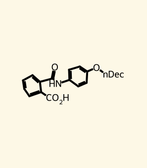 CCCCCCCCCCOc1ccc(NC(=O)c2ccccc2C(=O)O)cc1